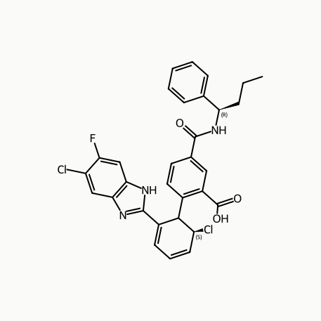 CCC[C@@H](NC(=O)c1ccc(C2C(c3nc4cc(Cl)c(F)cc4[nH]3)=CC=C[C@@H]2Cl)c(C(=O)O)c1)c1ccccc1